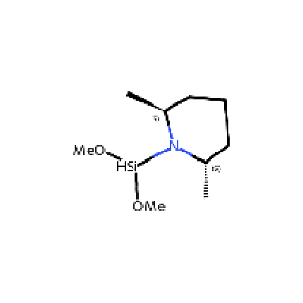 CO[SiH](OC)N1[C@@H](C)CCC[C@@H]1C